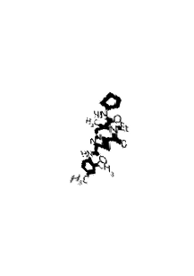 CCN1C(=O)c2cc(C(=O)Nc3ccc(C)cc3C)nn2CC1(C)C(=O)NC1CCCC1